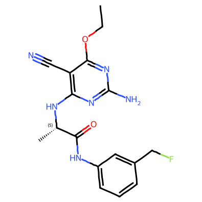 CCOc1nc(N)nc(N[C@@H](C)C(=O)Nc2cccc(CF)c2)c1C#N